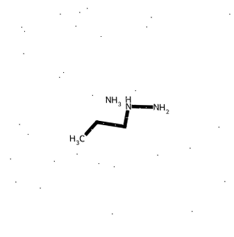 CCCNN.N